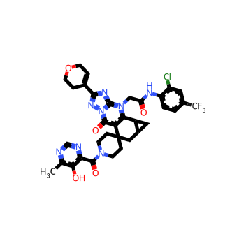 Cc1ncnc(C(=O)N2CCC3(CC2)CC2CC2c2c3c(=O)n3nc(C4=CCOCC4)nc3n2CC(=O)Nc2ccc(C(F)(F)F)cc2Cl)c1O